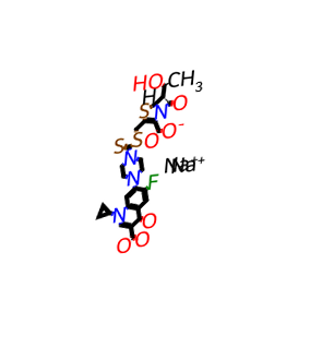 C[C@@H](O)[C@@H]1C(=O)N2C(C(=O)[O-])=C(CSC(=S)N3CCN(c4cc5c(cc4F)c(=O)c(C(=O)[O-])cn5C4CC4)CC3)S[C@H]12.[Na+].[Na+]